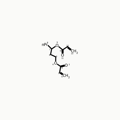 C=CC(=O)OCCC(CCC)OC(=O)C=C